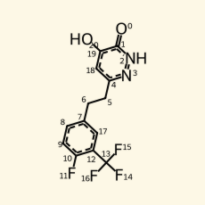 O=c1[nH]nc(CCc2ccc(F)c(C(F)(F)F)c2)cc1O